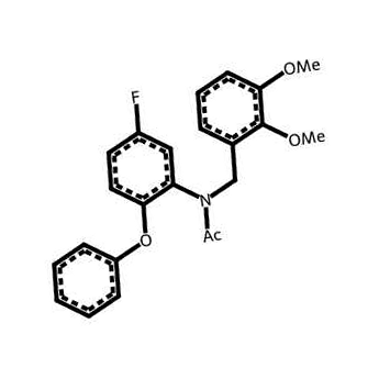 COc1cccc(CN(C(C)=O)c2cc(F)ccc2Oc2ccccc2)c1OC